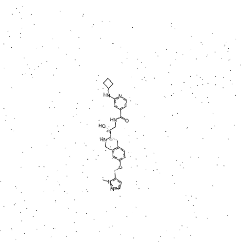 Cn1nccc1COc1ccc2c(c1)CN[C@H]([C@H](O)CNC(=O)c1ccnc(NC3CCC3)c1)C2